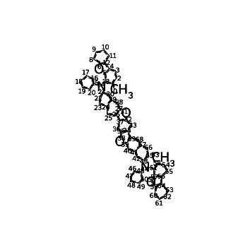 Cc1ccc2c(oc3ccccc32)c1N(c1ccccc1)c1ccc2cc3c(cc2c1)oc1cc2c(cc13)oc1cc3cc(N(c4ccccc4)c4c(C)ccc5c4oc4ccccc45)ccc3cc12